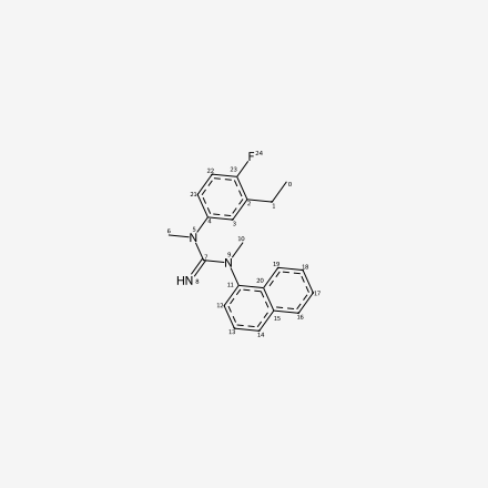 CCc1cc(N(C)C(=N)N(C)c2cccc3ccccc23)ccc1F